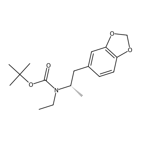 CCN(C(=O)OC(C)(C)C)[C@@H](C)Cc1ccc2c(c1)OCO2